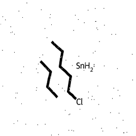 CCCC.CCCCCCl.[SnH2]